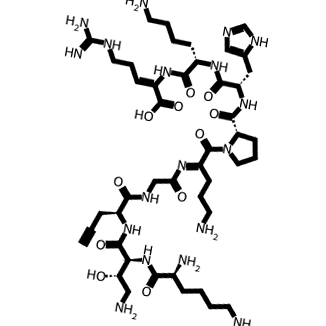 C#CC[C@H](NC(=O)[C@@H](NC(=O)[C@@H](N)CCCCN)[C@@H](O)CN)C(=O)NCC(=O)/N=C(\CCCN)C(=O)N1CCC[C@H]1C(=O)N[C@@H](Cc1cnc[nH]1)C(=O)N[C@@H](CCCCN)C(=O)N/C(=C\CCNC(=N)N)C(=O)O